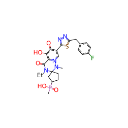 CCN1C(=O)c2c(O)c(=O)c(-c3nnc(Cc4ccc(F)cc4)s3)cn2N(C)C12CCC(P(C)(=O)O)C2